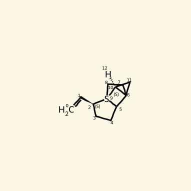 C=C[C@@H]1CCC2C34CCS21[C@H]3C4